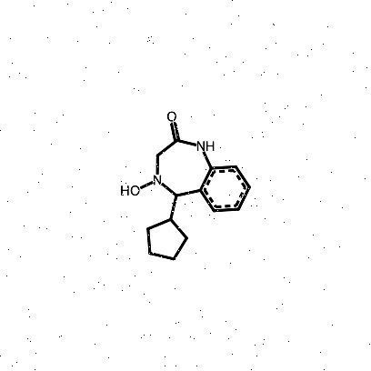 O=C1CN(O)C(C2CCCC2)c2ccccc2N1